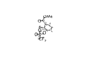 COC(=O)c1cccc(OS(=O)(=O)C(F)(F)F)c1F